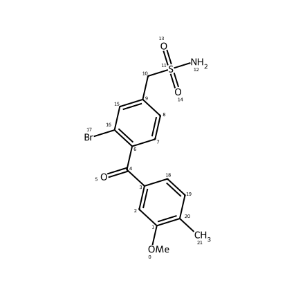 COc1cc(C(=O)c2ccc(CS(N)(=O)=O)cc2Br)ccc1C